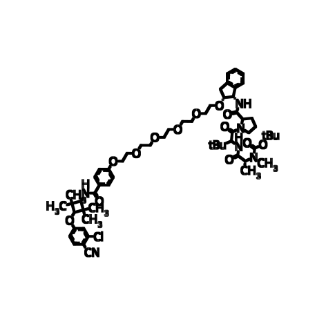 C[C@@H](C(=O)NC(C(=O)N1CCCC1C(=O)N[C@H]1c2ccccc2C[C@H]1OCCOCCOCCOCCOCCOc1ccc(C(=O)NC2C(C)(C)C(Oc3ccc(C#N)c(Cl)c3)C2(C)C)cc1)C(C)(C)C)N(C)C(=O)OC(C)(C)C